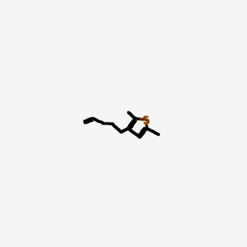 C=CCCCc1cc(C)sc1C